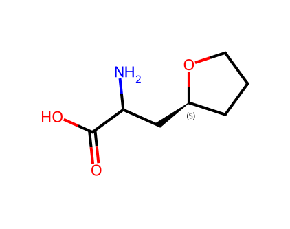 NC(C[C@@H]1CCCO1)C(=O)O